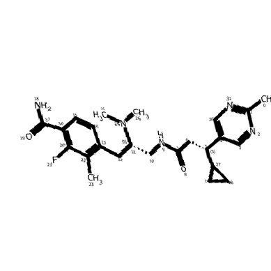 Cc1ncc([C@@H](CC(=O)NC[C@H](Cc2ccc(C(N)=O)c(F)c2C)N(C)C)C2CC2)cn1